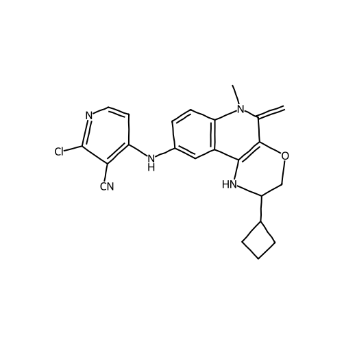 C=C1C2=C(NC(C3CCC3)CO2)c2cc(Nc3ccnc(Cl)c3C#N)ccc2N1C